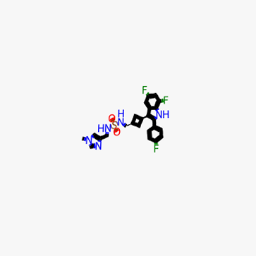 Cn1cnc(CNS(=O)(=O)NC[C@H]2C[C@H](c3c(-c4ccc(F)cc4)[nH]c4c(F)cc(F)cc43)C2)c1